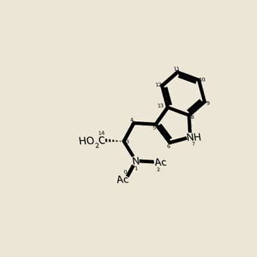 CC(=O)N(C(C)=O)[C@@H](Cc1c[nH]c2ccccc12)C(=O)O